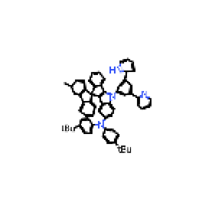 CC1C=CC2=C(C1)c1ccccc1C21c2ccccc2-c2c1c1cc(N(c3ccc(C(C)(C)C)cc3)c3ccc(C(C)(C)C)cc3)ccc1n2-c1cc(-c2ccccn2)cc(C2C=CC=CN2)c1